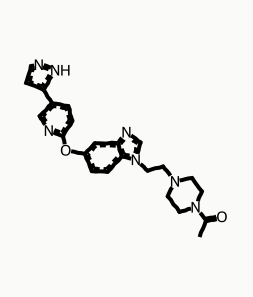 CC(=O)N1CCN(CCn2cnc3cc(Oc4ccc(-c5ccn[nH]5)cn4)ccc32)CC1